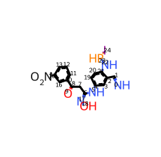 N=Cc1cc(N/C(CC(=O)c2cccc([N+](=O)[O-])c2)=N\O)ccc1NPI